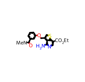 CCOC(=O)c1cnc(N)c2c(COc3cccc(C(=O)NC)c3)csc12